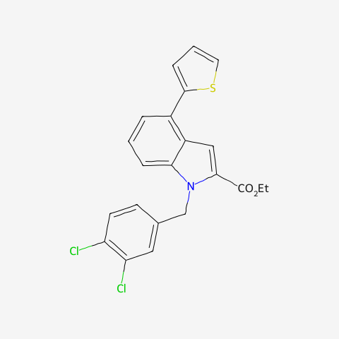 CCOC(=O)c1cc2c(-c3cccs3)cccc2n1Cc1ccc(Cl)c(Cl)c1